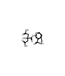 O=C(O)CC(O)(CC(=O)O)C(=O)O.O=C1NCc2ccncc21